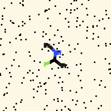 CC(C)NC(F)C(C)C